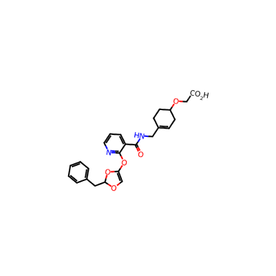 O=C(O)COC1CC=C(CNC(=O)c2cccnc2OC2=COC(Cc3ccccc3)O2)CC1